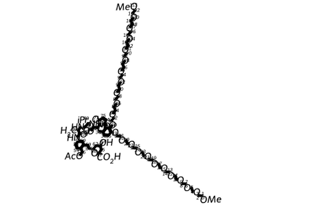 COCCOCCOCCOCCOCCOCCOCCOCCOCCOCCOCCOc1ccc(C[C@@H](C(=O)N[C@H](C(=O)N[C@@H](C)C(=O)Nc2ccc(COC(C)=O)c(CC[C@H]3C[C@@H](O)C[C@@H](C(=O)O)O3)c2)C(C)C)N2C(=O)C=CC2=O)cc1OCCOCCOCCOCCOCCOCCOCCOCCOCCOCCOCCOC